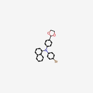 Brc1ccc(N(c2ccc(C3OCCO3)cc2)c2cccc3ccccc23)cc1